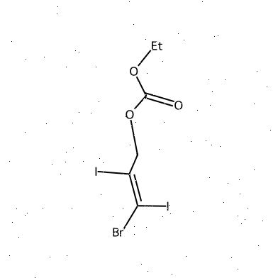 CCOC(=O)OC/C(I)=C(/Br)I